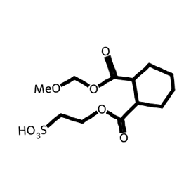 COCOC(=O)C1CCCCC1C(=O)OCCS(=O)(=O)O